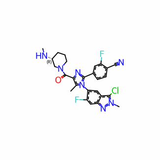 CN[C@@H]1CCCN(C(=O)c2nc(-c3ccc(C#N)c(F)c3)n(-c3cc4c(Cl)n(C)nc4cc3F)c2C)C1